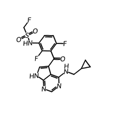 O=C(c1c(F)ccc(NS(=O)(=O)CF)c1F)c1c[nH]c2ncnc(NCC3CC3)c12